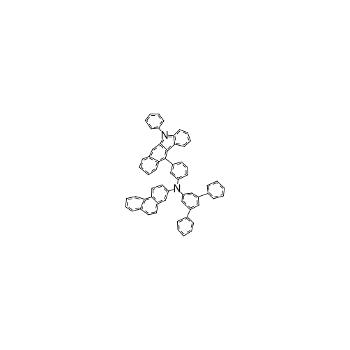 c1ccc(-c2cc(-c3ccccc3)cc(N(c3cccc(-c4c5ccccc5cc5c4c4ccccc4n5-c4ccccc4)c3)c3ccc4c(ccc5ccccc54)c3)c2)cc1